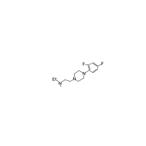 CCN(C)CCN1CCN(c2ccc(F)cc2F)CC1